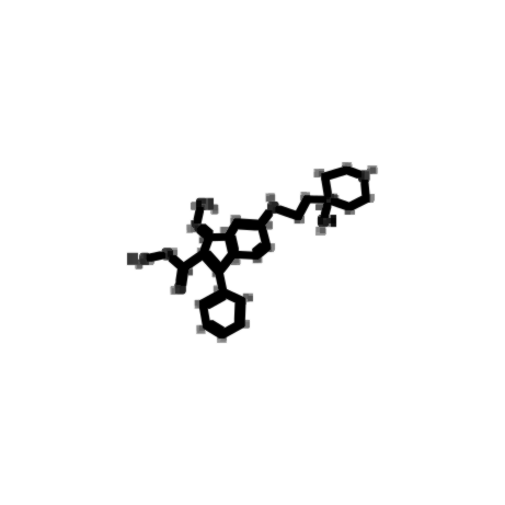 C/N=C1/C(C(=O)OC)=C(c2ccccc2)c2ccc(OCC[N+]3(O)CCOCC3)cc21